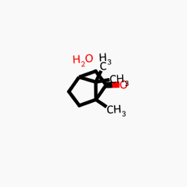 CC12CCC(CC1=O)C2(C)C.O